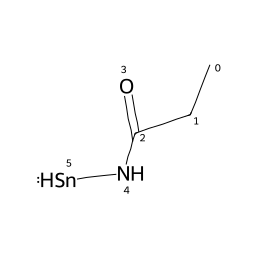 CCC(=O)[NH][SnH]